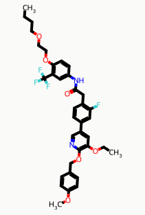 CCCCOCCOc1ccc(NC(=O)Cc2ccc(-c3cnc(OCc4ccc(OC)cc4)c(OCC)c3)cc2F)cc1C(F)(F)F